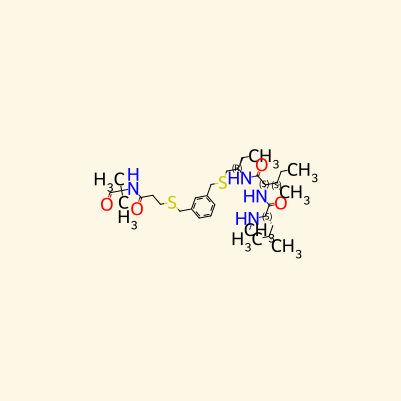 CC[C@H](CSCc1cccc(CSCCC(=O)NC(C)(C)C=O)c1)NC(=O)[C@@H](NC(=O)[C@H](CC(C)C)NC)[C@@H](C)CC